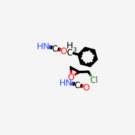 Cc1ccccc1.ClCC1CO1.N=C=O.N=C=O